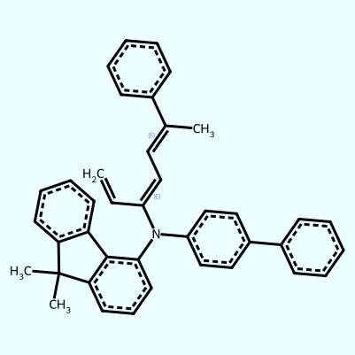 C=C/C(=C\C=C(/C)c1ccccc1)N(c1ccc(-c2ccccc2)cc1)c1cccc2c1-c1ccccc1C2(C)C